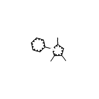 [CH2]c1cc(C)n(-c2ccccc2)c1C